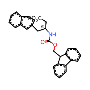 O=C(O)C[C@H](Cc1ccc2ccccc2c1)NC(=O)OCC1c2ccccc2-c2ccccc21